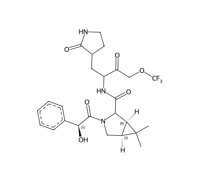 CC1(C)[C@@H]2C(C(=O)NC(CC3CCNC3=O)C(=O)COC(F)(F)F)N(C(=O)[C@@H](O)c3ccccc3)C[C@@H]21